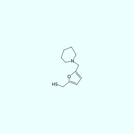 SCc1ccc(CN2CCCCC2)o1